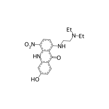 CCN(CC)CCNc1ccc([N+](=O)[O-])c2[nH]c3cc(O)ccc3c(=O)c12